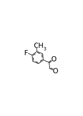 Cc1cc(C(=O)C=O)ccc1F